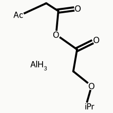 CC(=O)CC(=O)OC(=O)COC(C)C.[AlH3]